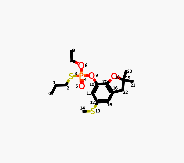 CCCSP(=O)(OCC)Oc1cc(SC)cc2c1OC(C)(C)C2